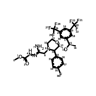 COC(=O)N/N=C(\N)CN1CCO[C@H](O[C@H](C)c2cc(C(F)(F)F)cc(C(F)(F)F)c2)C1c1ccc(F)cc1